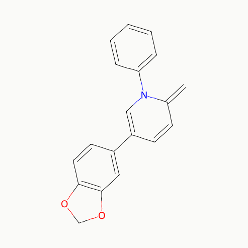 C=C1C=CC(c2ccc3c(c2)OCO3)=CN1c1ccccc1